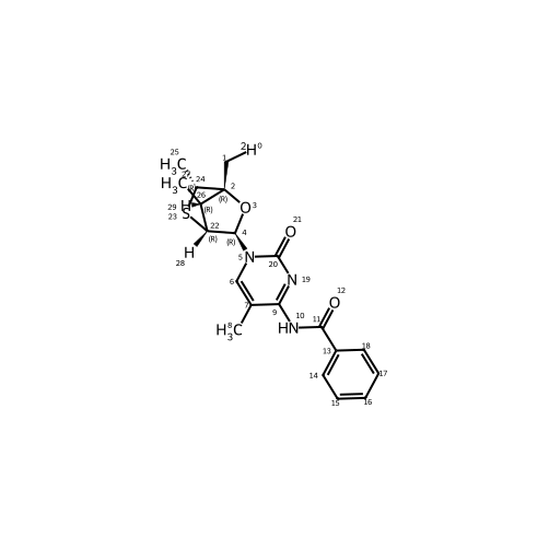 [2H]C[C@]12O[C@@H](n3cc(C)c(NC(=O)c4ccccc4)nc3=O)[C@H](S[C@@H]1C)[C@@H]2C